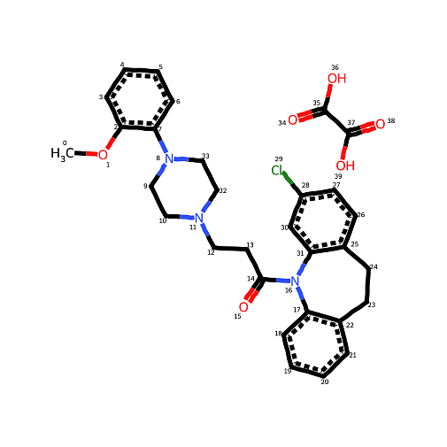 COc1ccccc1N1CCN(CCC(=O)N2c3ccccc3CCc3ccc(Cl)cc32)CC1.O=C(O)C(=O)O